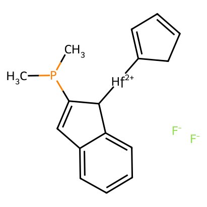 CP(C)C1=Cc2ccccc2[CH]1[Hf+2][C]1=CC=CC1.[F-].[F-]